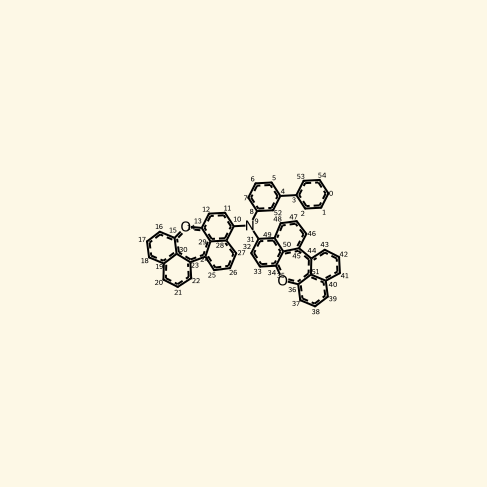 c1ccc(-c2cccc(N(c3ccc4oc5cccc6cccc(c7cccc3c47)c65)c3ccc4oc5cccc6cccc(c7cccc3c47)c65)c2)cc1